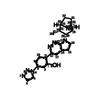 Oc1cc(-n2ccnn2)ccc1-c1cc2ccn([C@H]3C[C@@H]4CC[C@@H](N4)[C@H]3F)c2nn1